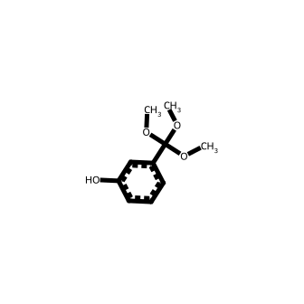 COC(OC)(OC)c1cccc(O)c1